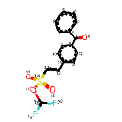 O=C(c1ccccc1)c1ccc(C=CS(=O)(=O)OC(F)F)cc1